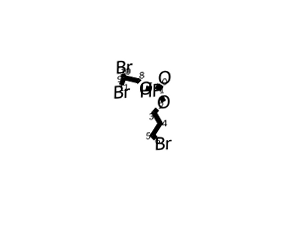 O=[PH](OCCCBr)OCC(Br)Br